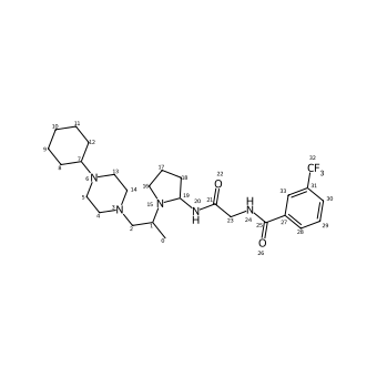 CC(CN1CCN(C2CCCCC2)CC1)N1CCCC1NC(=O)CNC(=O)c1cccc(C(F)(F)F)c1